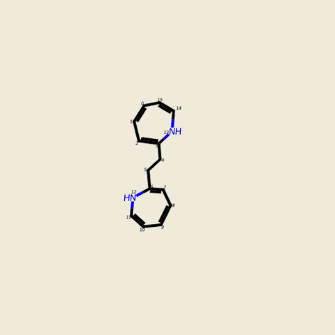 C1=CC=C(CCC2=CC=CC=CN2)NC=C1